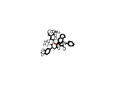 COC(=O)C(CC(=O)O)=C(O)C(=O)N(Cc1ccc2ccccc2c1)C(C)C(Cc1ccc(C(=O)Nc2ccccc2)o1)c1ccc2c(c1)OCO2